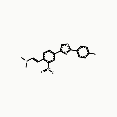 Cc1ccc(-c2nc(-c3ccc(/C=C/N(C)C)c([N+](=O)[O-])c3)cs2)cc1